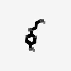 CCCNc1ncc(C)cn1